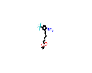 CC(C)(C)OC(=O)CCCCC#Cc1cc(C(F)(F)F)ccc1N